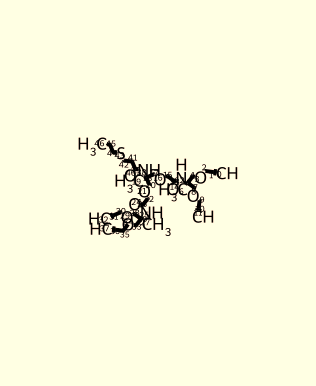 C#CCOCC(C)(COCC#C)NC(=O)COCC(C)(COCC(=O)NC(C)(COCC#C)COCC#C)NC(=O)CCSCCC